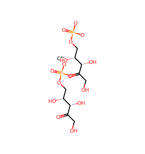 O=C(CO)[C@@H](O)[C@H](O)COP(=O)([O-])[O-].O=C(CO)[C@@H](O)[C@H](O)COP(=O)([O-])[O-].[C+4]